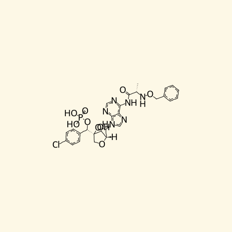 C[C@H](NOCc1ccccc1)C(=O)Nc1ncnc2c1ncn2[C@@H]1O[C@]2(C(OP(=O)(O)O)c3ccc(Cl)cc3)CO[C@@H]1[C@@H]2O